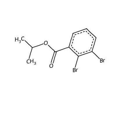 CC(C)OC(=O)c1cccc(Br)c1Br